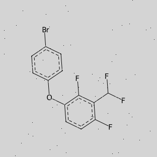 Fc1ccc(Oc2ccc(Br)cc2)c(F)c1C(F)F